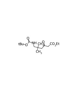 CCOC(=O)CC(=O)CC(C)(C)CNC(=O)OC(C)(C)C